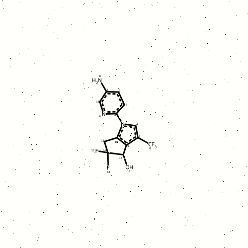 Nc1ccc(-n2cc(C(F)(F)F)c3c2CC(F)(F)C3O)nc1